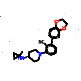 CC1(NC2CCN(c3cccc(-c4ccc5c(c4)OCCO5)c3C#N)CC2)CC1